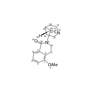 COc1cccc2c1CCN([C@H]1CN3CCC1CC3)C2=O